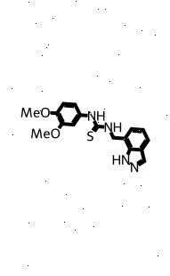 COc1ccc(NC(=S)NCc2cccc3cn[nH]c23)cc1OC